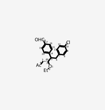 CCO[C@H](CC(C)=O)C(Cc1ccc(Cl)cc1)c1ccc(C=O)cc1